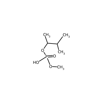 COP(=O)(O)OC(C)C(C)C